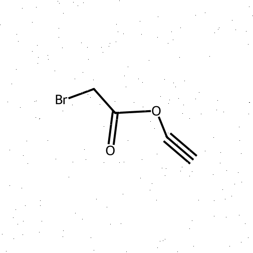 C#COC(=O)CBr